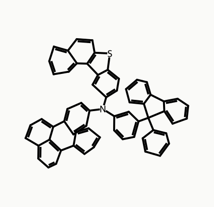 c1ccc(-c2cccc3cccc(-c4ccc(N(c5cccc(C6(c7ccccc7)c7ccccc7-c7ccccc76)c5)c5ccc6sc7ccc8ccccc8c7c6c5)cc4)c23)cc1